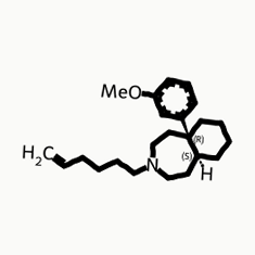 C=CCCCCN1CC[C@@H]2CCCC[C@@]2(c2cccc(OC)c2)CC1